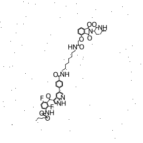 C=C1CCC(N2C(=O)c3cccc(OCC(=O)NCCCCCCCCNC(=O)c4ccc(-c5cnc6[nH]cc(C(=O)c7c(F)ccc(NS(=O)(=O)CCC)c7F)c6c5)cc4)c3C2=O)C(=O)N1